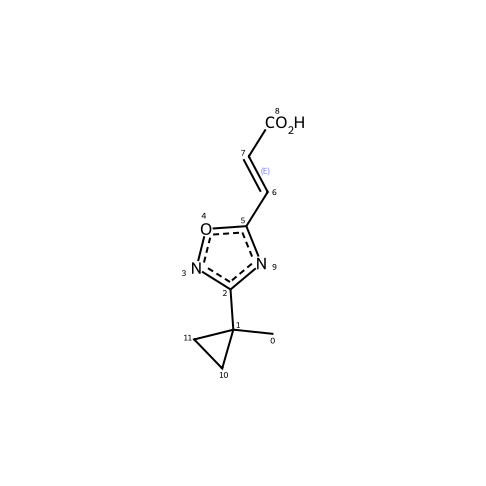 CC1(c2noc(/C=C/C(=O)O)n2)CC1